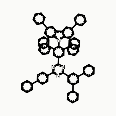 c1ccc(-c2ccc(-c3nc(-c4cc(-c5ccccc5)cc(-c5ccccc5)c4)nc(-c4cc(-c5ccccc5)c(-n5c6c(-c7ccccc7)cc(-c7ccccc7)cc6c6cc(-c7ccccc7)cc(-c7ccccc7)c65)c(-c5ccccc5)c4)n3)cc2)cc1